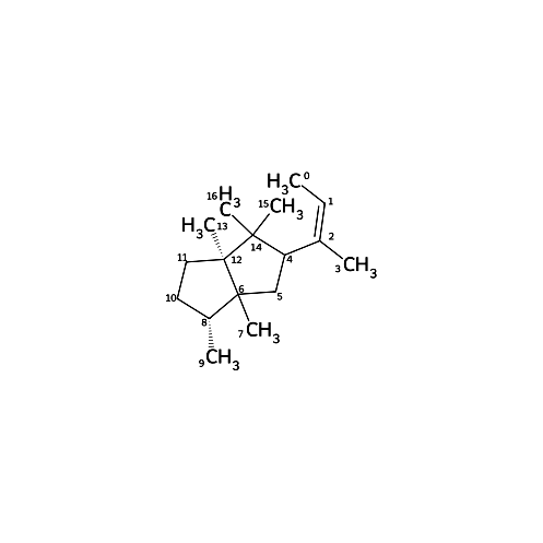 C/C=C(/C)C1CC2(C)[C@H](C)CC[C@@]2(C)C1(C)C